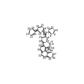 CC1(C)c2cc(N(c3ccccc3)c3cccc(-c4ccccc4)c3)ccc2-c2ccc3ccc4ccccc4c3c2C1(C)C